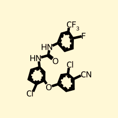 N#Cc1ccc(Oc2cc(NC(=O)Nc3ccc(F)c(C(F)(F)F)c3)ccc2Cl)cc1Cl